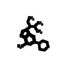 CCC(C(C)C)n1cnc2c(N)nc(N3CCOCC3)nc21